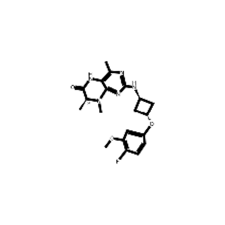 COc1cc(O[C@H]2C[C@H](Nc3nc(C)c4c(n3)N(C)[C@@H](C)C(=O)N4)C2)ccc1F